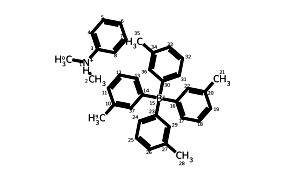 C[NH+](C)c1ccccc1.Cc1cccc([B-](c2cccc(C)c2)(c2cccc(C)c2)c2cccc(C)c2)c1